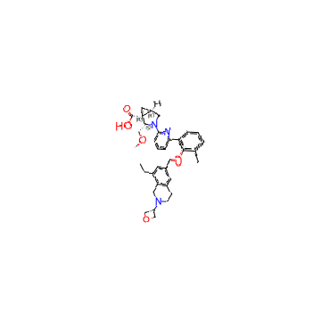 CCc1cc(COc2c(C)cccc2-c2cccc(N3C[C@@H]4C[C@]4(C(=O)O)[C@H]3COC)n2)cc2c1CN(C1COC1)CC2